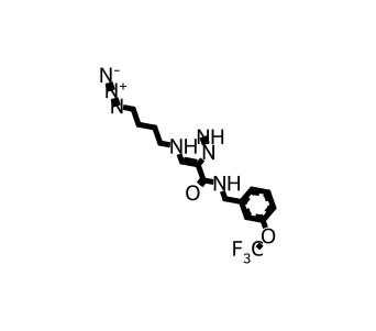 [N-]=[N+]=NCCCCN/C=C(\N=N)C(=O)NCc1cccc(OC(F)(F)F)c1